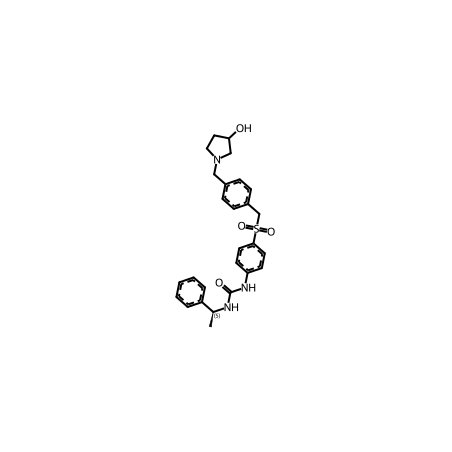 C[C@H](NC(=O)Nc1ccc(S(=O)(=O)Cc2ccc(CN3CCC(O)C3)cc2)cc1)c1ccccc1